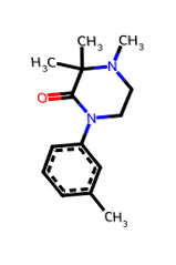 Cc1cccc(N2CCN(C)C(C)(C)C2=O)c1